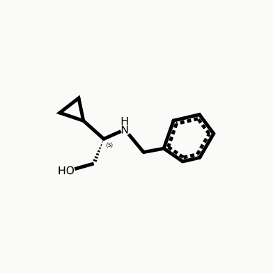 OC[C@@H](NCc1ccccc1)C1CC1